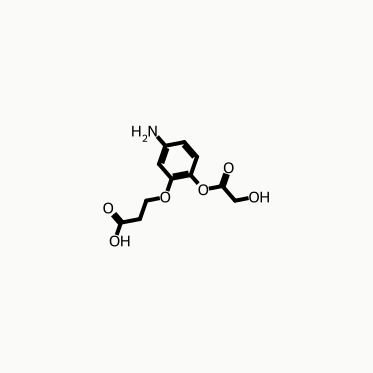 Nc1ccc(OC(=O)CO)c(OCCC(=O)O)c1